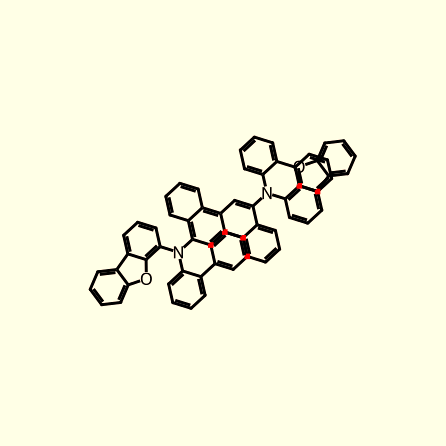 c1ccc(-c2ccccc2N(c2cc3c4ccccc4c(N(c4ccccc4-c4ccccc4)c4cccc5c4oc4ccccc45)cc3c3ccccc23)c2cccc3c2oc2ccccc23)cc1